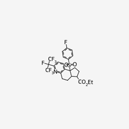 CCOC(=O)C1CCC2(S(=O)(=O)c3ccc(F)cc3)c3ccc(C(F)(C(F)(F)F)C(F)(F)F)nc3CCC12